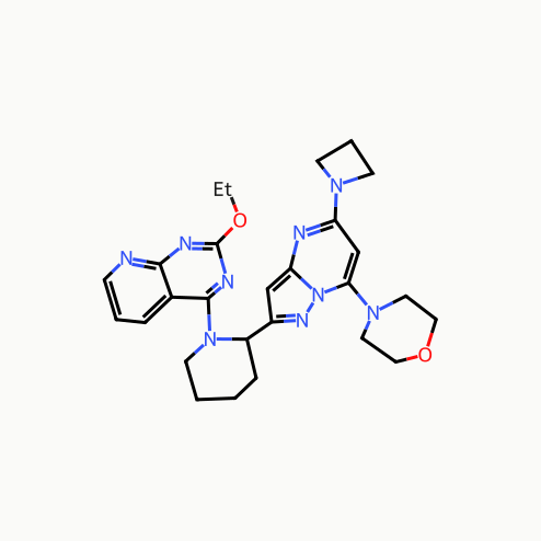 CCOc1nc(N2CCCCC2c2cc3nc(N4CCC4)cc(N4CCOCC4)n3n2)c2cccnc2n1